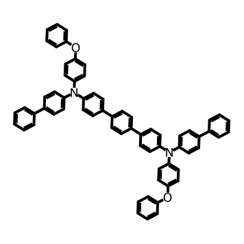 c1ccc(Oc2ccc(N(c3ccc(-c4ccccc4)cc3)c3ccc(-c4ccc(-c5ccc(N(c6ccc(Oc7ccccc7)cc6)c6ccc(-c7ccccc7)cc6)cc5)cc4)cc3)cc2)cc1